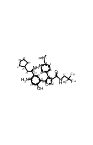 CN(C)c1ccc(-c2c(C(=O)NCC(F)(F)F)noc2-c2cc(C(=N)CC3CCCC3)c(N)cc2O)cn1